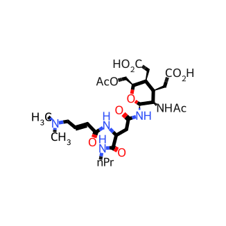 CCCNC(=O)C(CC(=O)N[C@@H]1O[C@@H](COC(C)=O)[C@@H](CC(=O)O)[C@@H](CC(=O)O)[C@H]1NC(C)=O)NC(=O)/C=C/CN(C)C